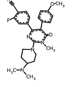 COc1ccc(-c2c(-c3ccc(C#N)c(F)c3)nc(N3CCC(N(C)C)CC3)n(C)c2=O)cc1